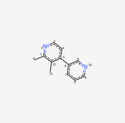 Cc1nccc(-c2cccnc2)c1C